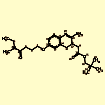 CCN(C)C(=O)CCCOc1ccc2c(c1)CN(CC(=O)OCC(C)(C)C)C(N)=N2